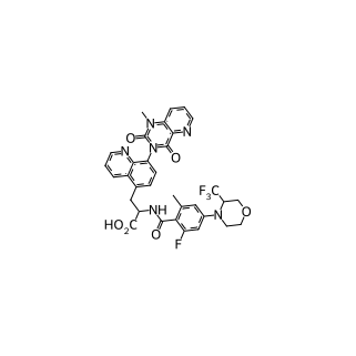 Cc1cc(N2CCOCC2C(F)(F)F)cc(F)c1C(=O)NC(Cc1ccc(-n2c(=O)c3ncccc3n(C)c2=O)c2ncccc12)C(=O)O